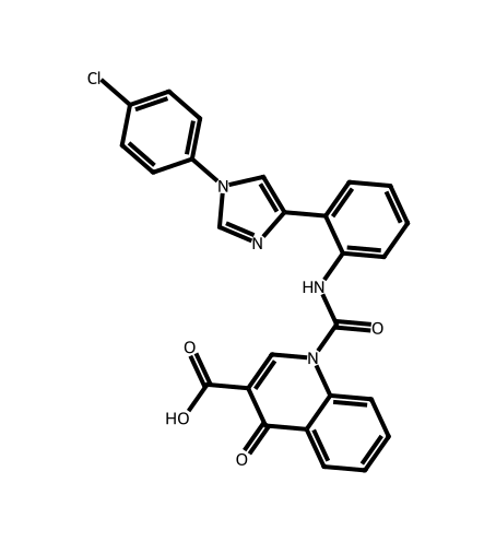 O=C(O)c1cn(C(=O)Nc2ccccc2-c2cn(-c3ccc(Cl)cc3)cn2)c2ccccc2c1=O